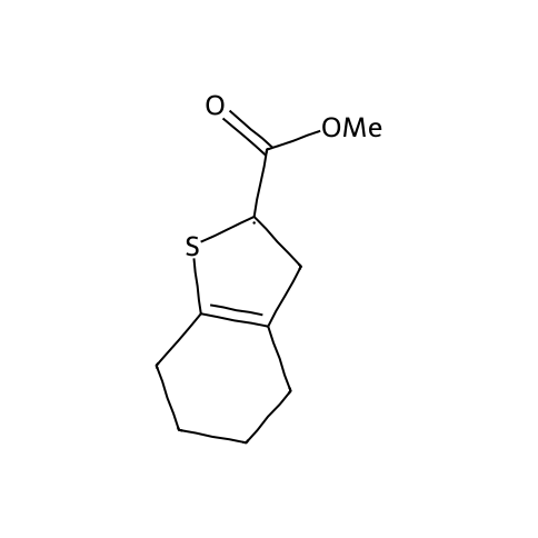 COC(=O)[C]1CC2=C(CCCC2)S1